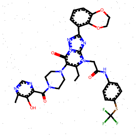 CCc1c(N2CCN(C(=O)c3ncnc(C)c3O)CC2)c(=O)n2nc(-c3cccc4c3OCCO4)nc2n1CC(=O)Nc1ccc(SC(F)(F)F)cc1